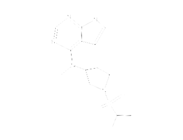 CC(C)S(=O)(=O)N1CCC(N(C)c2ncnc3[nH]ccc23)C1